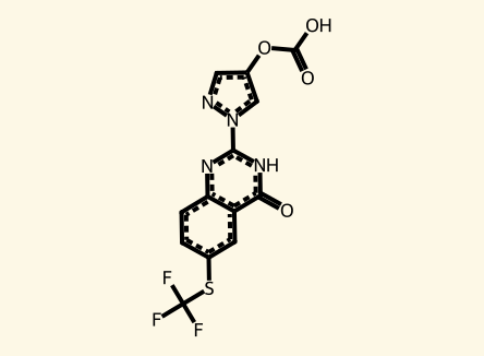 O=C(O)Oc1cnn(-c2nc3ccc(SC(F)(F)F)cc3c(=O)[nH]2)c1